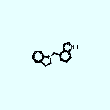 [CH]1CN(Cc2cccc3[nH]ccc23)c2ccccc21